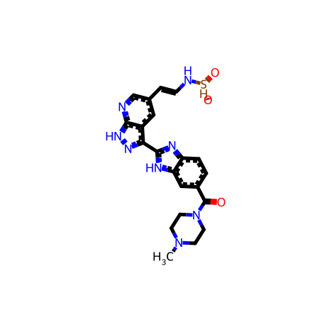 CN1CCN(C(=O)c2ccc3nc(-c4n[nH]c5ncc(C=CN[SH](=O)=O)cc45)[nH]c3c2)CC1